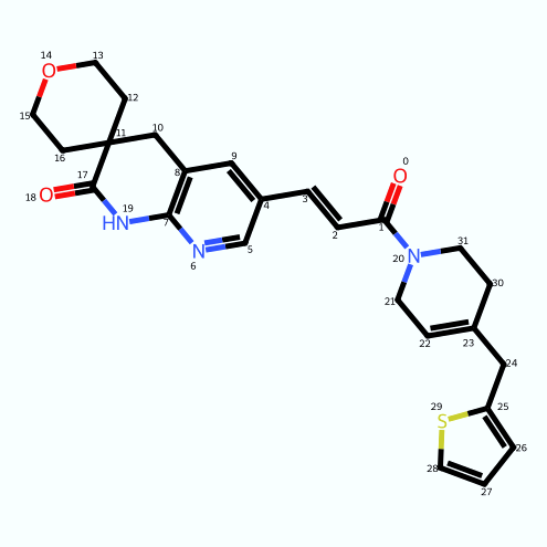 O=C(/C=C/c1cnc2c(c1)CC1(CCOCC1)C(=O)N2)N1CC=C(Cc2cccs2)CC1